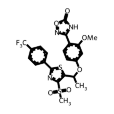 COc1cc(OC(C)c2sc(-c3ccc(C(F)(F)F)cc3)nc2S(C)(=O)=O)ccc1-c1noc(=O)[nH]1